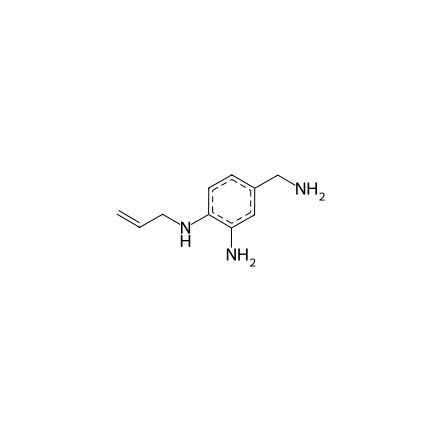 C=CCNc1ccc(CN)cc1N